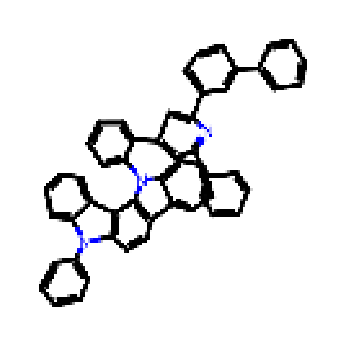 c1ccc(-c2cccc(-c3cc(-c4ccccc4-n4c5ccccc5c5ccc6c(c7ccccc7n6-c6ccccc6)c54)cc(-c4ccccc4)n3)c2)cc1